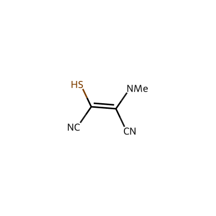 CN/C(C#N)=C(\S)C#N